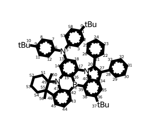 CC(C)(C)c1ccc(N(c2ccc(C(C)(C)C)cc2)c2cc3c4c(c2)-n2c(-c5ccccc5)c(-c5ccccc5)c5cc(C(C)(C)C)cc(c52)B4c2cccc4c2N3C2(C)CCCCC42C)cc1